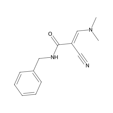 CN(C)C=C(C#N)C(=O)NCc1ccccc1